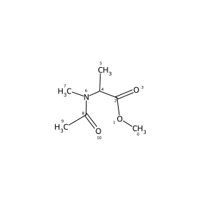 COC(=O)C(C)N(C)C(C)=O